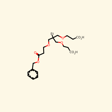 CCC(COCCC(=O)O)(COCCC(=O)O)COCCC(=O)OCc1ccccc1